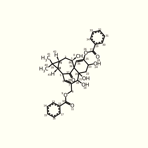 C[C@@H]1C[C@@H]2[C@H](C3C=C(COC(=O)c4ccccc4)C(O)C4(O)CC(O)C(OC(=O)c5ccccc5)=CC14C3=O)C2(C)C